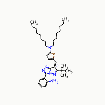 CCCCCCCCN(CCCCCCCC)c1ccc(/C=c2/c(C(C)(C)C)nn3c(-c4ccccc4N)nnc23)s1